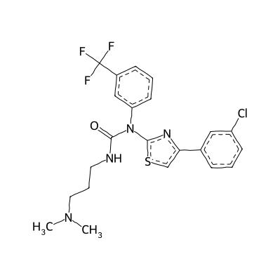 CN(C)CCCNC(=O)N(c1cccc(C(F)(F)F)c1)c1nc(-c2cccc(Cl)c2)cs1